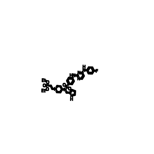 CCOP(=O)(CCN1CCC(N(CC2CCCN2)S(=O)(=O)c2ccc(Nc3nccc(Nc4ccc(F)cc4)n3)cc2)CC1)OCC